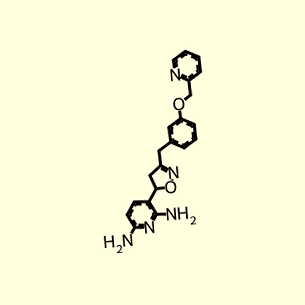 Nc1ccc(C2CC(Cc3cccc(OCc4ccccn4)c3)=NO2)c(N)n1